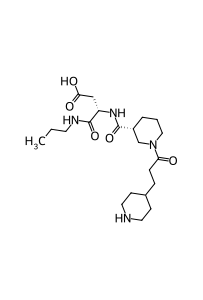 CCCNC(=O)[C@H](CC(=O)O)NC(=O)[C@@H]1CCCN(C(=O)CCC2CCNCC2)C1